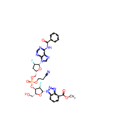 COC(=O)c1cccc2c1nnn2[C@@H]1O[C@H](CO)[C@@H](OP(=O)(OCCC#N)OC[C@@H]2C[C@@H](F)[C@H](n3cnc4c(NC(=O)c5ccccc5)ncnc43)O2)[C@H]1F